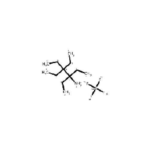 CCC([NH3+])(CC)C(CC)(CC)CC.F[B-](F)(F)F